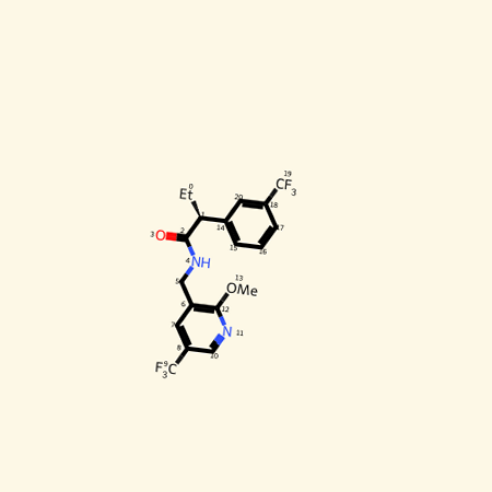 CC[C@H](C(=O)NCc1cc(C(F)(F)F)cnc1OC)c1cccc(C(F)(F)F)c1